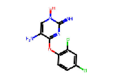 N=c1nc(Oc2ccc(Cl)cc2Cl)c(N)cn1O